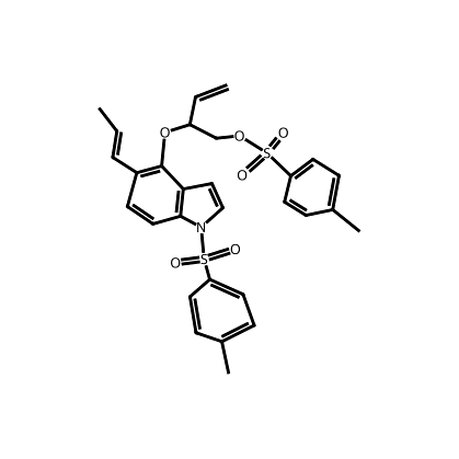 C=CC(COS(=O)(=O)c1ccc(C)cc1)Oc1c(C=CC)ccc2c1ccn2S(=O)(=O)c1ccc(C)cc1